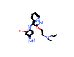 CCN(CC)CCOc1nn2ccccc2c1/N=C1\C=CC(=N)C=C1O